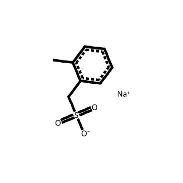 Cc1ccccc1CS(=O)(=O)[O-].[Na+]